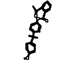 COc1ccc(C(C)(C)c2ccc(OC(=O)c3ccccc3C(C)=O)cc2)cc1